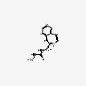 CNC(=S)NNC1=NC=Cc2ccccc2C1